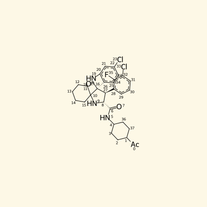 CC(=O)C1CCC(NC(=O)[C@@H]2NC3(CCCCC3)[C@@]3(C(=O)Nc4cc(Cl)ccc43)[C@H]2c2cccc(Cl)c2F)CC1